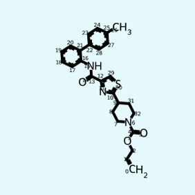 C=CCOC(=O)N1CCC(c2nc(C(=O)Nc3ccccc3-c3ccc(C)cc3)cs2)CC1